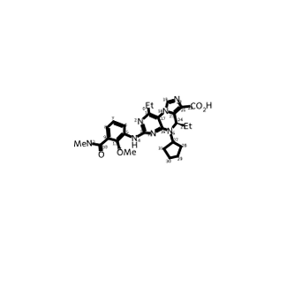 CCc1nc(Nc2cccc(C(=O)NC)c2OC)nc2c1-n1cnc(C(=O)O)c1[C@@H](CC)N2C1CCCC1